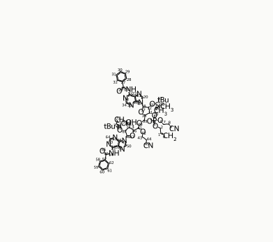 C=CCOP(=O)(OCCC#N)O[C@H]1[C@@H](O[Si](C)(C)C(C)(C)C)[C@H](n2cnc3c(NC(=O)c4ccccc4)ncnc32)O[C@@H]1COC(OCCC#N)[C@H]1O[C@@H](n2cnc3c(NC(=O)c4ccccc4)ncnc32)[C@H](O[Si](C)(C)C(C)(C)C)[C@@H]1O